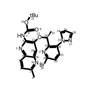 Cc1ccc2nc(NC(=O)OC(C)(C)C)c(O[C@@H](C)c3nc(Br)ccc3-n3cccn3)cc2n1